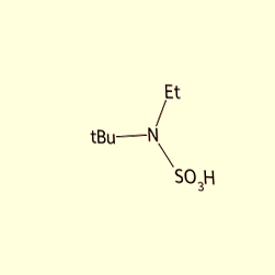 CCN(C(C)(C)C)S(=O)(=O)O